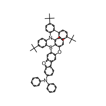 CC(C)(C)c1ccc(-c2cc(C(C)(C)C)ccc2N2c3ccc(C(C)(C)C)cc3B3c4cc5oc6cc(N(c7ccccc7)c7ccccc7)ccc6c5cc4Oc4cccc2c43)cc1